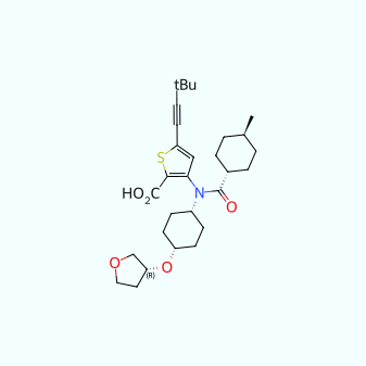 CC(C)(C)C#Cc1cc(N(C(=O)[C@H]2CC[C@H](C)CC2)[C@H]2CC[C@@H](O[C@@H]3CCOC3)CC2)c(C(=O)O)s1